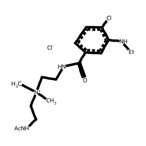 CCNc1cc(C(=O)NCC[N+](C)(C)CCNC(C)=O)ccc1Cl.[Cl-]